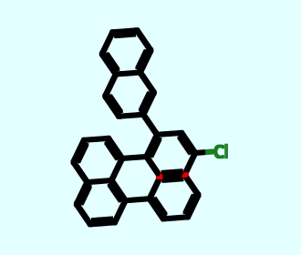 Clc1ccc(-c2cccc3cccc(-c4ccccc4)c23)c(-c2ccc3ccccc3c2)c1